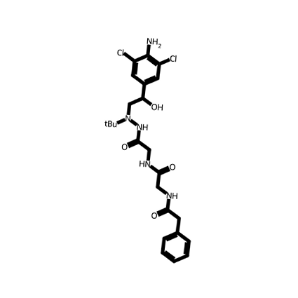 CC(C)(C)N(CC(O)c1cc(Cl)c(N)c(Cl)c1)NC(=O)CNC(=O)CNC(=O)Cc1ccccc1